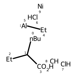 CCCCC(CC)C(=O)O.C[CH2][Al].Cl.Cl.[CH].[Ni]